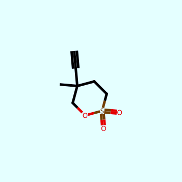 C#CC1(C)CCS(=O)(=O)OC1